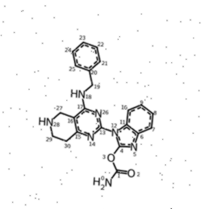 NC(=O)Oc1nc2ccccc2n1-c1nc2c(c(NCc3ccccc3)n1)CNCC2